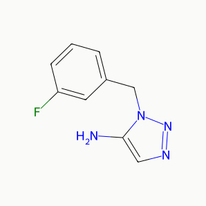 Nc1cnnn1Cc1cccc(F)c1